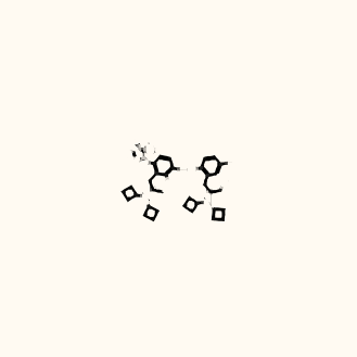 O=S(=O)(Oc1ccc(F)c2c1C[C@@H](N(C1CCC1)C1CCC1)CO2)C(F)(F)F.Oc1ccc(F)c2c1C[C@@H](N(C1CCC1)C1CCC1)CO2